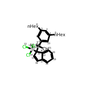 CCCCCCc1cc(CCCCCC)cc([Si](C)(C)[C]2([Ti]([Cl])([Cl])[Cl])C=Cc3ccccc32)c1